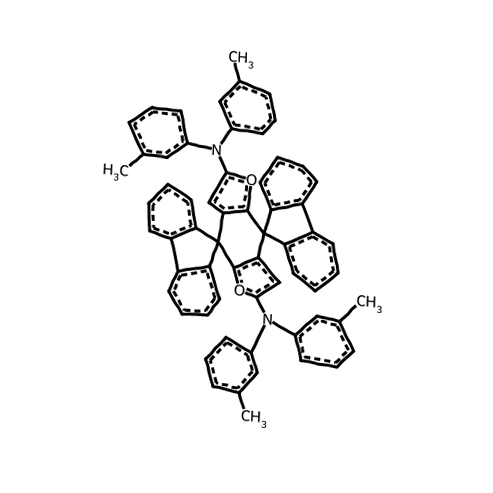 Cc1cccc(N(c2cccc(C)c2)c2cc3c(o2)C2(c4ccccc4-c4ccccc42)c2cc(N(c4cccc(C)c4)c4cccc(C)c4)oc2C32c3ccccc3-c3ccccc32)c1